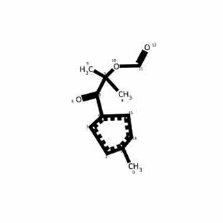 Cc1ccc(C(=O)C(C)(C)OC=O)cc1